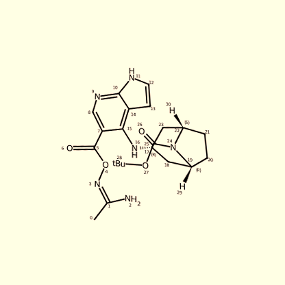 CC(N)=NOC(=O)c1cnc2[nH]ccc2c1N[C@H]1C[C@H]2CC[C@@H](C1)N2C(=O)OC(C)(C)C